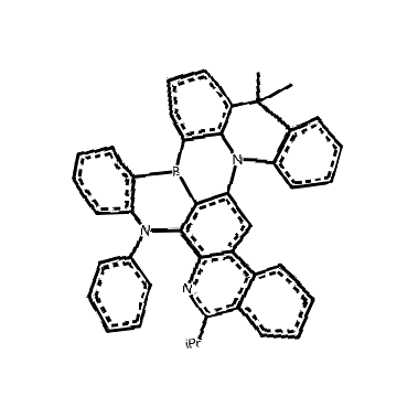 CC(C)c1nc2c3c4c(cc2c2ccccc12)N1c2ccccc2C(C)(C)c2cccc(c21)B4c1ccccc1N3c1ccccc1